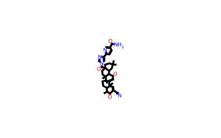 CC1C(=O)C(C#N)=CC2(C)C3=CC(=O)C4C5CC(C)(C)CCC5(C(=O)n5cnc(-c6ccc(C(N)=O)cn6)c5)CCC4(C)C3(C)CCC12